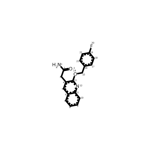 NC(=O)Cc1cc2ccccc2nc1OCc1ccc(F)cc1